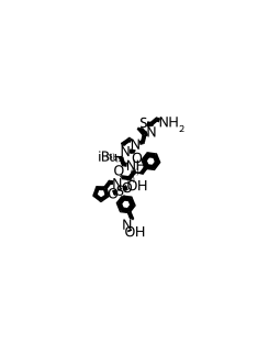 CC[C@H](C)[C@@H](C(=O)N[C@@H](Cc1ccccc1)[C@@H](O)CN(CC1CCCC1)S(=O)(=O)c1ccc(C=NO)cc1)N1CCN(Cc2csc(CN)n2)C1=O